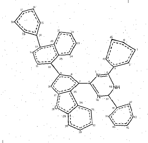 c1ccc(C2=NC(c3cc(-c4ccc(-c5ccccc5)c5ccccc45)cc4oc5ccccc5c34)=NC(c3ccccc3)N2)cc1